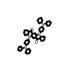 O=c1c2ccccc2n(-c2ccc(N(c3ccccc3)c3ccccc3)cc2)c2cc3c(=O)c4ccccc4n(-c4ccc(N(c5ccccc5)c5ccccc5)cc4)c3cc12